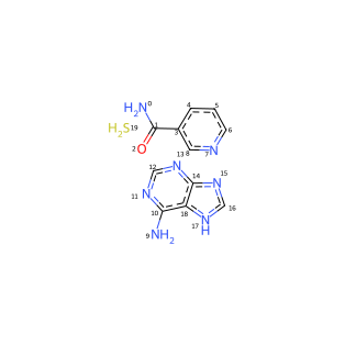 NC(=O)c1cccnc1.Nc1ncnc2nc[nH]c12.S